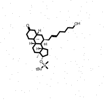 CC(C)(C)[Si](C)(C)O[C@H]1CC[C@H]2[C@@H]3[C@H](CC=CCCCCO)C[C@H]4CC(=O)CC[C@]4(C)[C@H]3CC[C@]12C